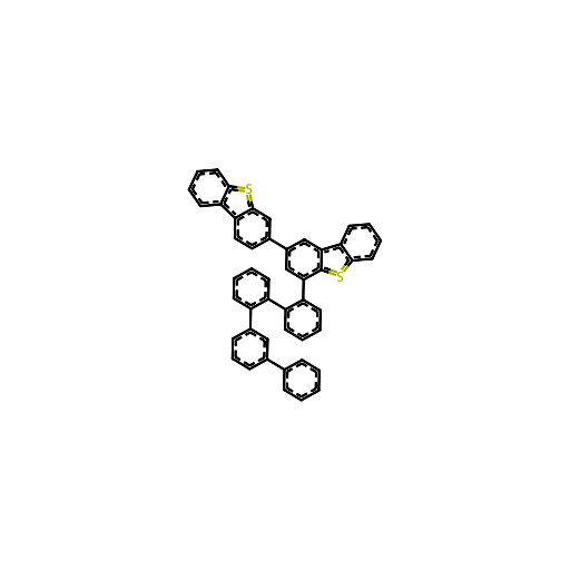 c1ccc(-c2cccc(-c3ccccc3-c3ccccc3-c3cc(-c4ccc5c(c4)sc4ccccc45)cc4c3sc3ccccc34)c2)cc1